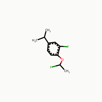 CC(F)Oc1ccc(C(C)C)cc1F